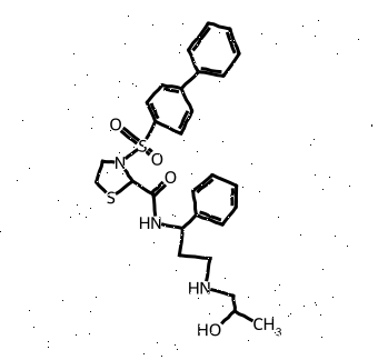 CC(O)CNCCC(NC(=O)C1SCCN1S(=O)(=O)c1ccc(-c2ccccc2)cc1)c1ccccc1